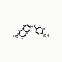 Oc1ccc(Oc2cnc3cc(Cl)ccc3c2)cc1